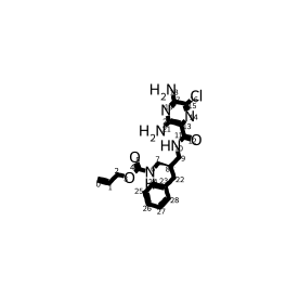 C=CCOC(=O)NC[C@@H](CNC(=O)c1nc(Cl)c(N)nc1N)Cc1ccccc1